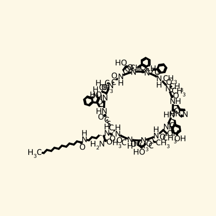 CCCCCCCCCCCC(=O)NCCCC[C@H](NC(=O)[C@@H]1CSCC(=O)N[C@@H](Cc2c[nH]c3ccccc23)C(=O)N[C@@H]([C@@H](C)O)C(=O)N(C)CC(=O)N[C@@H](CC(=O)O)C(=O)N(C)[C@@H](Cc2ccccc2)C(=O)N(C)[C@@H](Cc2ccccc2)C(=O)N[C@@H](C)C(=O)N(C)[C@@H](C)C(=O)N[C@@H](Cc2cnc[nH]2)C(=O)N[C@@H](Cc2ccc(O)cc2)C(=O)N[C@@H]([C@@H](C)O)C(=O)N[C@@H](C(C)C)C(=O)N2C[C@H](O)C[C@H]2C(=O)N[C@@H](C)C(=O)N1)C(N)=O